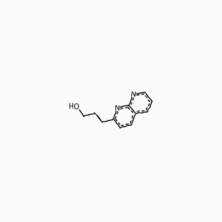 OCCCc1ccc2cccnc2n1